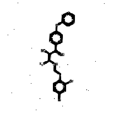 N#C/C(C(=N)c1ccc(Oc2ccccc2)cc1)=C(\N)NCCc1ccc(Br)cc1Br